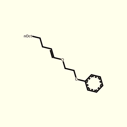 CCCCCCCCCCC=COCCOc1ccccc1